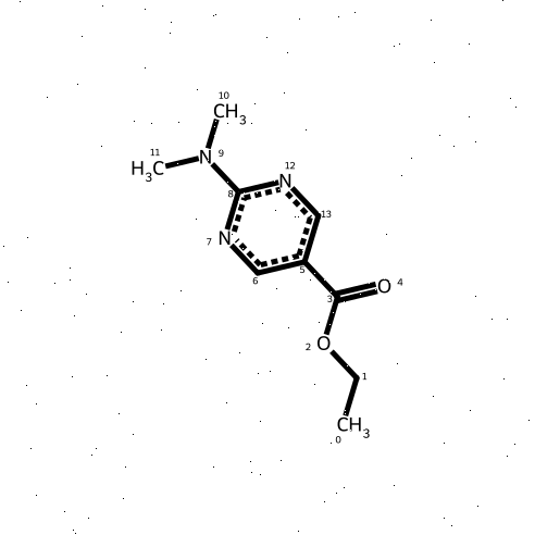 CCOC(=O)c1[c]nc(N(C)C)nc1